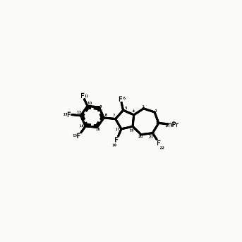 CCCC1CCC2C(F)C(c3cc(F)c(F)c(F)c3)C(F)C2CC1F